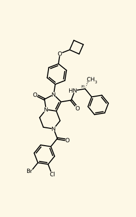 C[C@@H](NC(=O)c1c2n(c(=O)n1-c1ccc(OC3CCC3)cc1)CCN(C(=O)c1ccc(Br)c(Cl)c1)C2)c1ccccc1